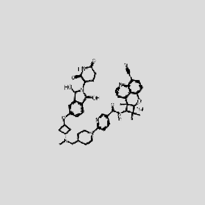 CN(CC1CCN(c2ccc(C(=O)NC3C(C)(C)[C@@H]4Oc5ccc(C#N)c6nccc(c56)C34C)cn2)CC1)[C@H]1C[C@H](Oc2ccc3c(c2)C(O)N(C2CCC(=O)NC2=O)C3O)C1